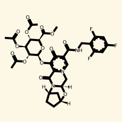 COC(=O)[C@H]1O[C@@H](Oc2c3n(cc(C(=O)NCc4c(F)cc(F)cc4F)c2=O)C[C@H]2O[C@@H]4CC[C@@H](C4)N2C3=O)[C@H](OC(C)=O)[C@@H](OC(C)=O)[C@@H]1OC(C)=O